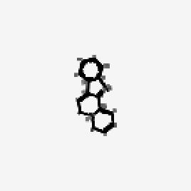 C1=CCN2CC=C3C(=Nc4ccccc43)C2=C1